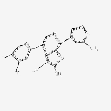 Cc1cc(-c2ncc(-c3ccc(F)c(C(F)(F)F)c3)c3c(N)c(N)oc23)ccn1